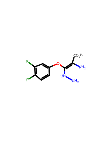 NN/C(Oc1ccc(F)c(F)c1)=C(\N)C(=O)O